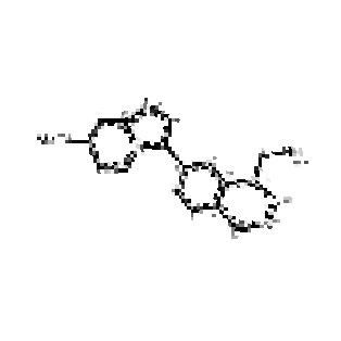 COc1ccn2c(-c3ccc4cnnc(CN)c4c3)cnc2c1